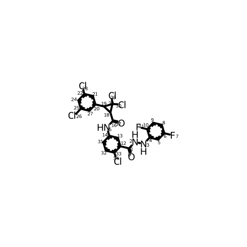 O=C(NNc1cc(F)ccc1F)c1cc(NC(=O)C2C(c3cc(Cl)cc(Cl)c3)C2(Cl)Cl)ccc1Cl